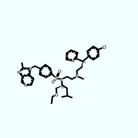 CCOC[C@H](CC(C)C)N(CCN(C)CC[C@H](c1ccc(Cl)cc1)c1ccccn1)S(=O)(=O)c1ccc(Cn2c(C)nc3cnccc32)cc1